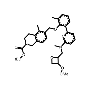 COOC1COC1CN(C)c1cccc(-c2cccc(C)c2OCc2ccc3c(c2C)CCN(C(=O)OC(C)(C)C)C3)n1